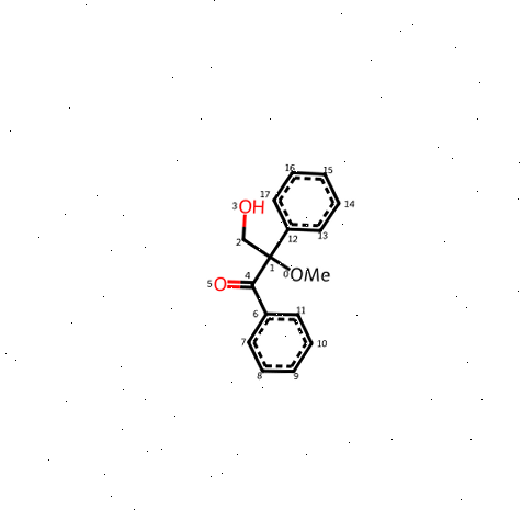 COC(CO)(C(=O)c1ccccc1)c1ccccc1